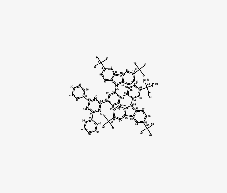 CC(C)(C)c1ccc2c(c1)c1cc(C(C)(C)C)ccc1n2-c1cc(-c2nc(-c3ccccc3)nc(-c3ccccc3)n2)ccc1-c1ccc(C(F)(F)F)cc1-n1c2ccc(C(C)(C)C)cc2c2cc(C(C)(C)C)ccc21